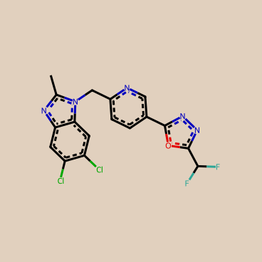 Cc1nc2cc(Cl)c(Cl)cc2n1Cc1ccc(-c2nnc(C(F)F)o2)cn1